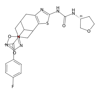 CC(=O)N1CC2Cc3nc(NC(=O)N[C@@H]4CCOC4)sc3C(C1)C2c1nc(-c2ccc(F)cc2)no1